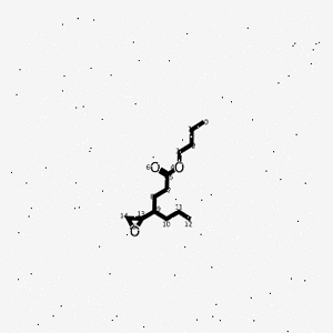 CCCCOC(=O)CCC(CCC)C1CO1